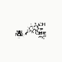 Oc1cc2ccc(C#CCn3cnnn3)cc2c(O)c1Cc1ccccc1